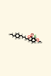 CCCC1CCC(CCCCC2Cc3ccc(OCC)c(F)c3C(=O)O2)CC1